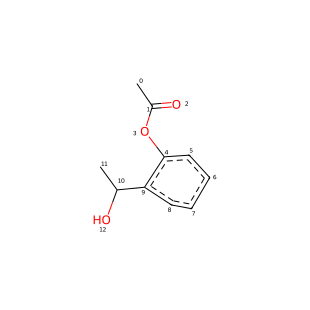 CC(=O)Oc1ccccc1C(C)O